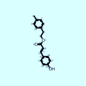 Cc1ccc(CCOC(=O)/C=C/c2ccc(O)cc2)cc1